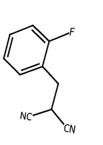 N#CC(C#N)Cc1ccccc1F